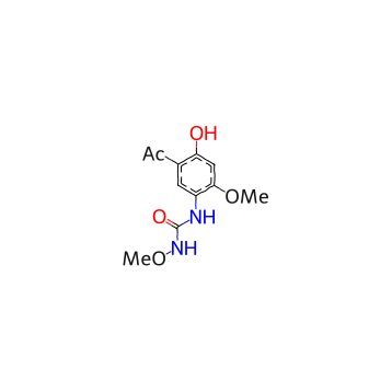 CONC(=O)Nc1cc(C(C)=O)c(O)cc1OC